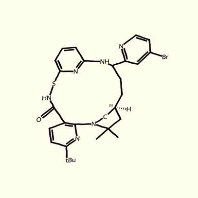 CC(C)(C)c1ccc2c(n1)N1C[C@@H](CCC(c3cc(Br)ccn3)Nc3cccc(n3)SNC2=O)CC1(C)C